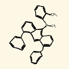 CB(c1ccccc1C)c1c2cccc(-c3ccccc3)c2cc2c(-c3ccccc3)cccc12